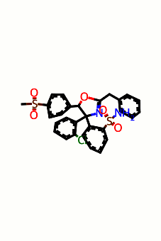 CS(=O)(=O)c1ccc(C2OC(Cc3ccccc3)=NC2(c2ccccc2Cl)c2ccccc2S(N)(=O)=O)cc1